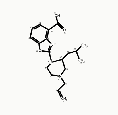 C=CCN1CCN(c2nc3c(C(=O)O)cccc3o2)C(CC(C)C)C1